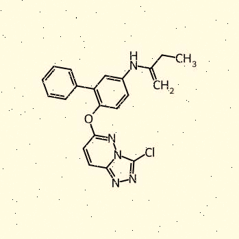 C=C(CC)Nc1ccc(Oc2ccc3nnc(Cl)n3n2)c(-c2ccccc2)c1